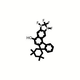 CC1(C)CC(C)(C)CC2(C1)c1ccccc1-c1c2cc(O)c2cc3c(cc12)N(F)C(F)(F)N3F